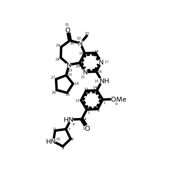 COc1cc(C(=O)NC2CCNC2)ccc1Nc1ncc2c(n1)N(C1CCCC1)CCC(=O)N2C